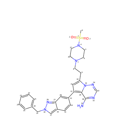 CS(=O)(=O)N1CCN(CCc2cc(-c3ccc4cn(Cc5ccccc5)nc4c3)c3c(N)ncnn23)CC1